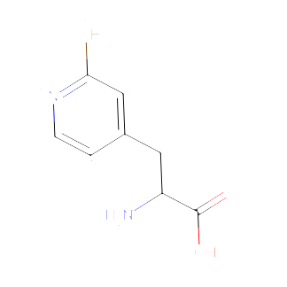 NC(Cc1ccnc(S)c1)C(=O)O